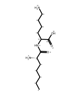 CCCCC[C@H](N)C(=O)NC(CCCCN)C(=O)O